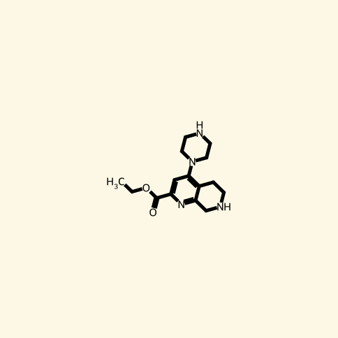 CCOC(=O)c1cc(N2CCNCC2)c2c(n1)CNCC2